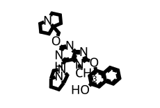 Cn1c(Oc2cc(O)cc3ccccc23)nc2nc(OCC34CCCN3CCC4)nc(N3CC4CCC(C3)N4)c21